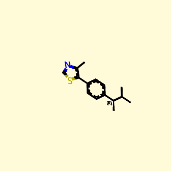 Cc1ncsc1-c1ccc([C@H](C)C(C)C)cc1